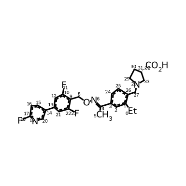 CCc1cc(/C(C)=N/OCc2c(F)cc(-c3ccc(F)nc3)cc2F)ccc1CN1CC[C@H](C(=O)O)C1